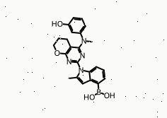 Cc1cc2c(B(O)O)cccc2n1-c1nc2c(c(N(C)c3cccc(O)c3)n1)CCCO2